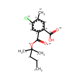 CCCC(C)(C)OC(=O)c1cc(Cl)c(C)cc1C(=O)O